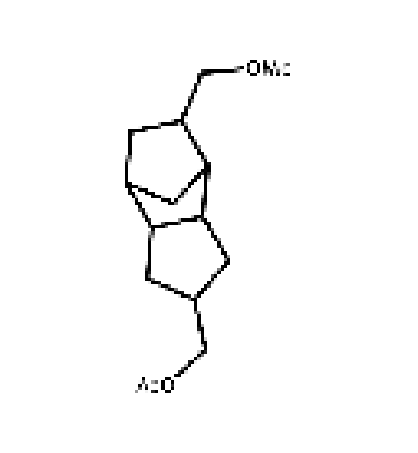 COCC1CC2CC1C1CC(COC(C)=O)CC21